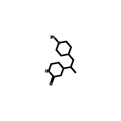 CC(CC1CCN(C(C)C)CC1)C1CCNC(=O)C1